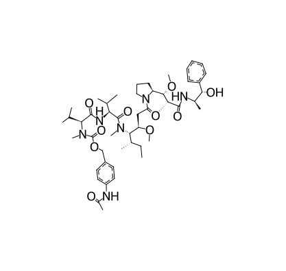 CC[C@H](C)[C@@H]([C@@H](CC(=O)N1CCC[C@H]1[C@H](OC)[C@@H](C)C(=O)N[C@H](C)[C@@H](O)c1ccccc1)OC)N(C)C(=O)[C@@H](NC(=O)[C@H](C(C)C)N(C)C(=O)OCc1ccc(NC(C)=O)cc1)C(C)C